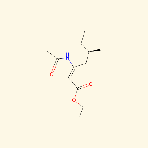 CCOC(=O)/C=C(\C[C@H](C)CC)NC(C)=O